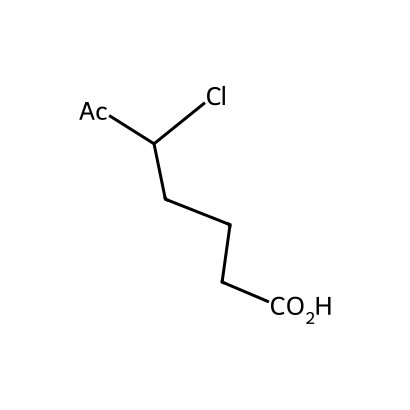 CC(=O)C(Cl)CCCC(=O)O